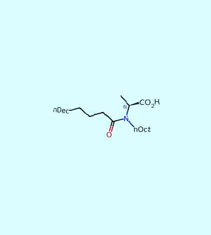 CCCCCCCCCCCCCC(=O)N(CCCCCCCC)[C@@H](C)C(=O)O